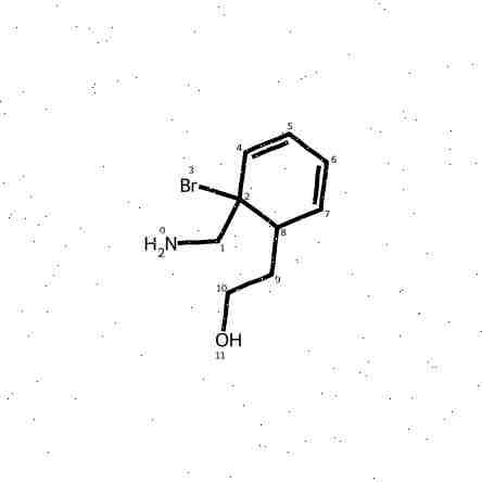 NCC1(Br)C=CC=CC1CCO